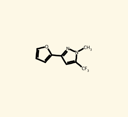 Cn1nc(-c2ccco2)cc1C(F)(F)F